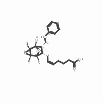 O=C(O)CCC/C=C\C[C@H]1[C@@H](CNc2ccccc2)[C@@H]2O[C@H]1[C@@H]1O[C@@H]12